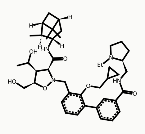 CCN1CCC[C@H]1CNC(=O)c1cccc(-c2cccc(CN3O[C@@H](CO)[C@@H](C(C)O)[C@H]3C(=O)N[C@H]3C[C@H]4C[C@@H]([C@@H]3C)C4(C)C)c2OCC2CC2)c1